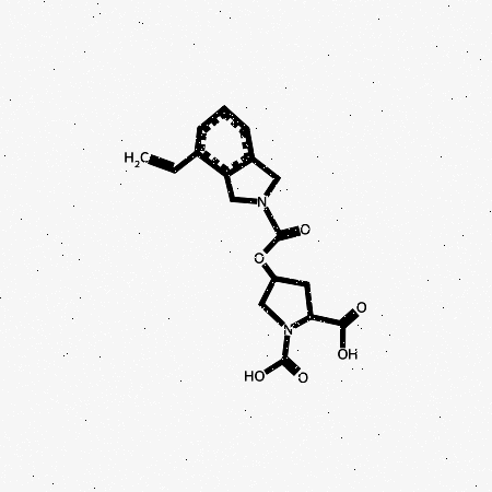 C=Cc1cccc2c1CN(C(=O)OC1CC(C(=O)O)N(C(=O)O)C1)C2